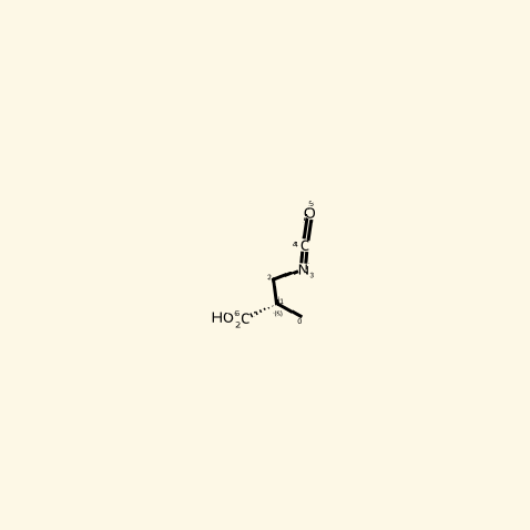 C[C@@H](CN=C=O)C(=O)O